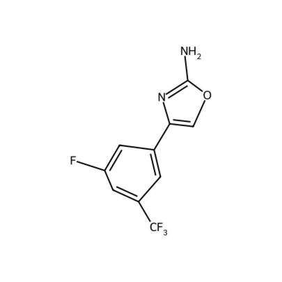 Nc1nc(-c2cc(F)cc(C(F)(F)F)c2)co1